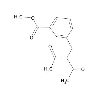 COC(=O)c1cccc(CC(C(C)=O)C(C)=O)c1